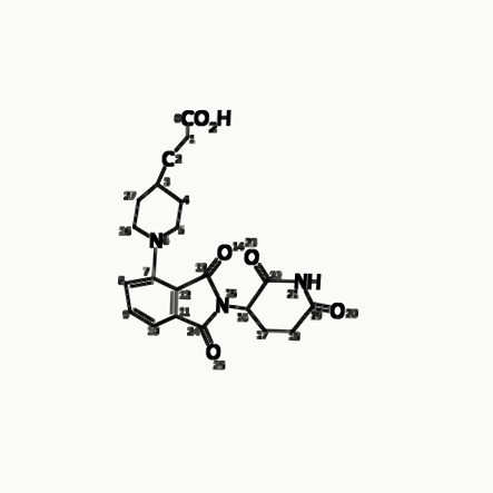 O=C(O)CCC1CCN(c2cccc3c2C(=O)N(C2CCC(=O)NC2=O)C3=O)CC1